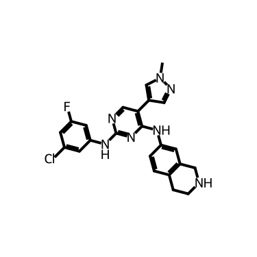 Cn1cc(-c2cnc(Nc3cc(F)cc(Cl)c3)nc2Nc2ccc3c(c2)CNCC3)cn1